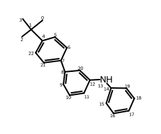 CC(C)(C)c1ccc(-c2cccc(Nc3ccccc3)c2)cc1